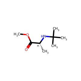 COC(=O)[C@@H](C)NC(C)(C)C